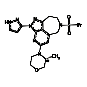 CC(C)S(=O)(=O)N1CCc2nn(-c3cc[nH]n3)c3nc(N4CCOC[C@H]4C)cc(c23)C1